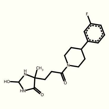 CC1(CCC(=O)N2CCC(c3cccc(F)c3)CC2)NC(O)NC1=O